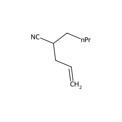 C=CCC(C#N)CCCC